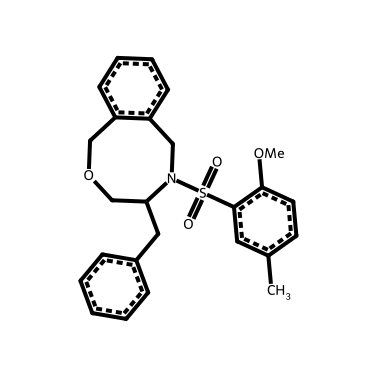 COc1ccc(C)cc1S(=O)(=O)N1Cc2ccccc2COCC1Cc1ccccc1